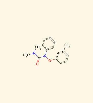 CN(C)C(=O)N(Oc1cccc(C(F)(F)F)c1)c1ccccc1